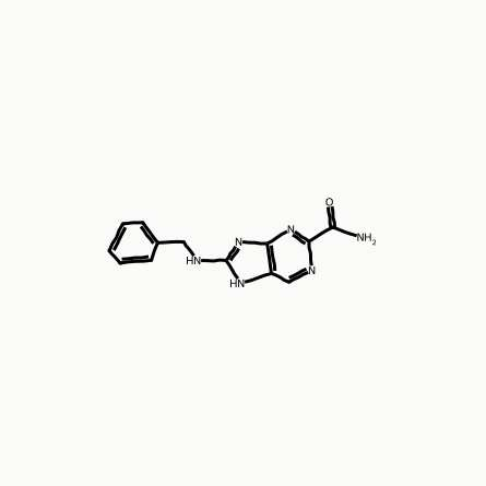 NC(=O)c1ncc2[nH]c(NCc3ccccc3)nc2n1